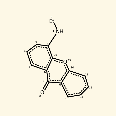 CCNc1cccc2c(=O)c3ccccc3oc12